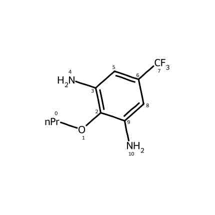 CCCOc1c(N)cc(C(F)(F)F)cc1N